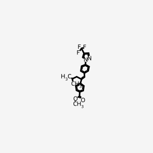 COC(=O)c1ccc(/C(=C/c2ccc(-n3cc(C(F)(F)F)cn3)cc2)CC(C)C)cc1